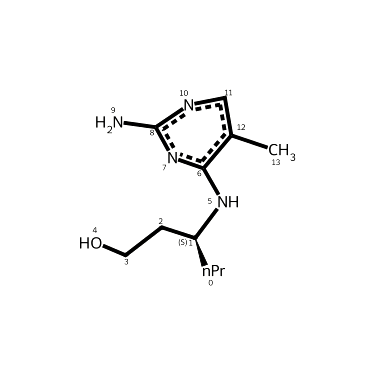 CCC[C@@H](CCO)Nc1nc(N)ncc1C